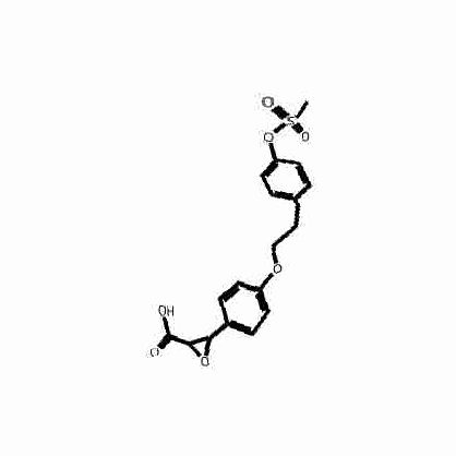 CS(=O)(=O)Oc1ccc(CCOc2ccc(C3OC3C(=O)O)cc2)cc1